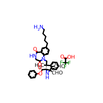 CC(CN1C(=O)CNC(=O)c2cc(CCCCCN)ccc21)(c1ccccc1)[C@@]1(C(=O)Oc2ccccc2)NC1(C=O)CC=O.O=C(O)C(F)(F)F